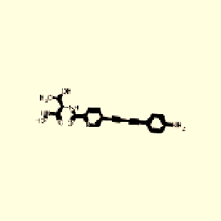 C[C@@H](O)[C@H](NC(=O)c1ccc(C#CC#Cc2ccc(N)cc2)cn1)C(=O)NO